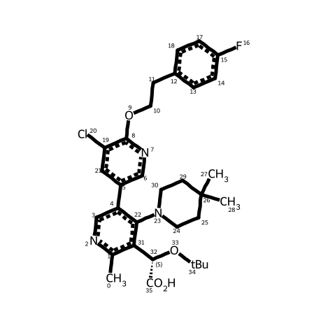 Cc1ncc(-c2cnc(OCCc3ccc(F)cc3)c(Cl)c2)c(N2CCC(C)(C)CC2)c1[C@H](OC(C)(C)C)C(=O)O